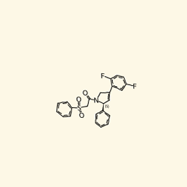 O=C(CS(=O)(=O)c1ccccc1)N1CC(c2cc(F)ccc2F)=C[C@H]1c1ccccc1